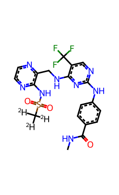 [2H]C([2H])([2H])S(=O)(=O)Nc1nccnc1CNc1nc(Nc2ccc(C(=O)NC)cc2)ncc1C(F)(F)F